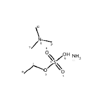 CCOS(=O)(=O)O.CN(C)C.N